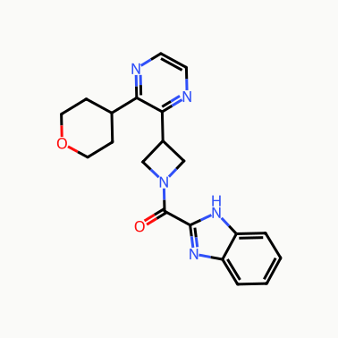 O=C(c1nc2ccccc2[nH]1)N1CC(c2nccnc2C2CCOCC2)C1